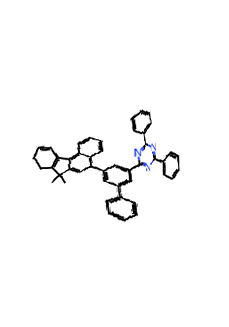 CC1(C)C2=CC(c3cc(-c4ccccc4)cc(-c4nc(-c5ccccc5)nc(-c5ccccc5)n4)c3)C3C=CC=CC3=C2C2=C1CCC=C2